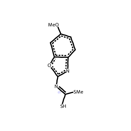 COc1ccc2nc(/N=C(/S)SC)oc2c1